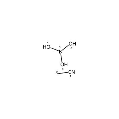 CC#N.OB(O)O